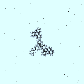 c1ccc(-c2ccc(N(c3ccc(-c4ccc5c6ccccc6c6ccccc6c5c4)cc3)c3ccc(-c4ccc5ccccc5c4-c4ccccc4)cc3)cc2)cc1